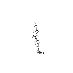 CCCCOCC1CCC(c2ccc(-c3ccc(-c4ccc(F)c(F)c4)c(F)c3)c(F)c2)OC1